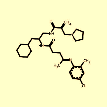 C=C(CN1CCCC1)C(=O)NCC(CC1CCCCC1)NC(=O)CC/C(C)=N/c1ccc(Cl)cc1C